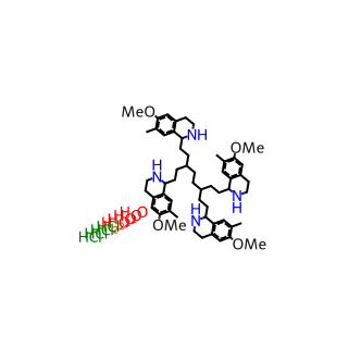 COc1cc2c(cc1C)C(CCC(CCC(CCC1NCCc3cc(OC)c(C)cc31)CCC1NCCc3cc(OC)c(C)cc31)CCC1NCCc3cc(OC)c(C)cc31)NCC2.Cl.Cl.Cl.Cl.O.O.O.O